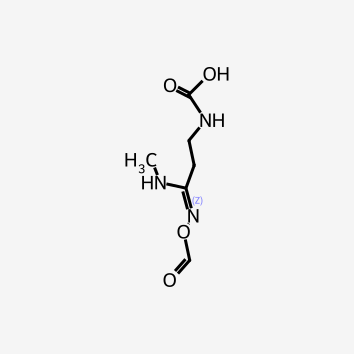 CN/C(CCNC(=O)O)=N\OC=O